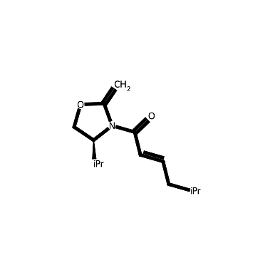 C=C1OC[C@H](C(C)C)N1C(=O)/C=C/CC(C)C